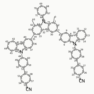 Cc1cc(-c2ccc3c(c2)c2ccccc2n3-c2ccc(-c3ccc(C#N)cc3)cc2)cc2c3cc(-c4ccc5c(c4)c4ccccc4n5-c4ccc(-c5ccc(C#N)cc5)cc4)cc(C)c3n(-c3ccccc3)c12